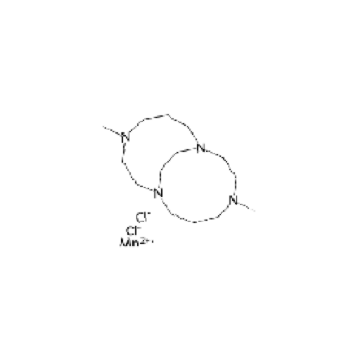 CN1CCCN2CCN(C)CCCN(CC1)CC2.[Cl-].[Cl-].[Mn+2]